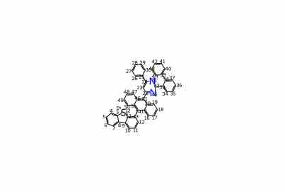 C[Si]1(C)c2ccccc2-c2cccc(-c3c4ccccc4c(-c4cc(-c5ccccc5)nc(-c5ccccc5-c5ccccc5)n4)c4ccccc34)c21